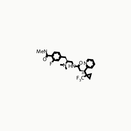 CNC(=O)c1ccc(C[C@@H](CNC(=O)C[C@@H](c2ccccn2)C2(C(F)(F)F)CC2)N(C)C)cc1F